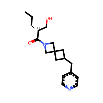 CCC[C@H](CO)C(=O)N1CC2(CC(Cc3ccncc3)C2)C1